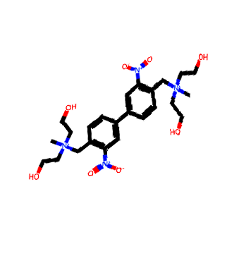 C[N+](CCO)(CCO)Cc1ccc(-c2ccc(C[N+](C)(CCO)CCO)c([N+](=O)[O-])c2)cc1[N+](=O)[O-]